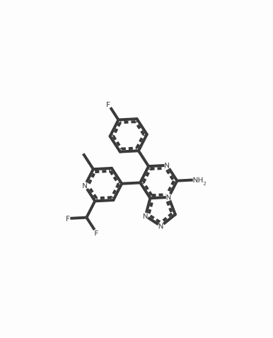 Cc1cc(-c2c(-c3ccc(F)cc3)nc(N)n3cnnc23)cc(C(F)F)n1